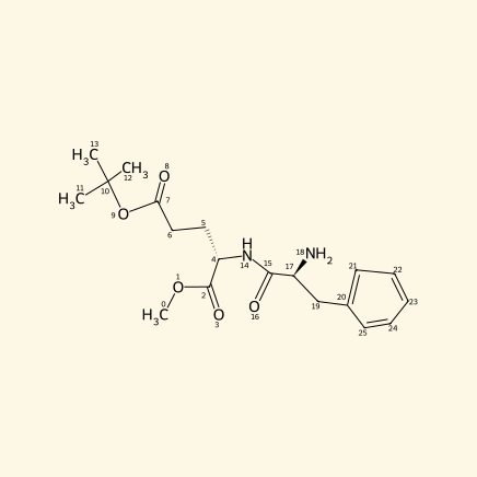 COC(=O)[C@H](CCC(=O)OC(C)(C)C)NC(=O)[C@@H](N)Cc1ccccc1